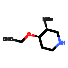 CN[C@@H]1CNCC[C@@H]1OCC=O